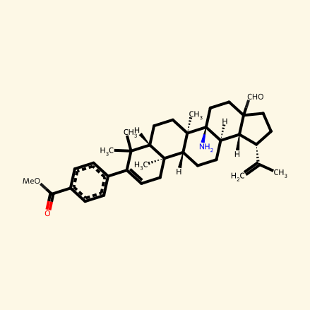 C=C(C)[C@H]1CCC2(C=O)CC[C@]3(N)[C@H](CC[C@@H]4[C@@]5(C)CC=C(c6ccc(C(=O)OC)cc6)C(C)(C)[C@@H]5CC[C@]43C)[C@@H]12